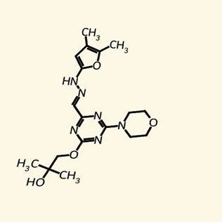 Cc1cc(N/N=C/c2nc(OCC(C)(C)O)nc(N3CCOCC3)n2)oc1C